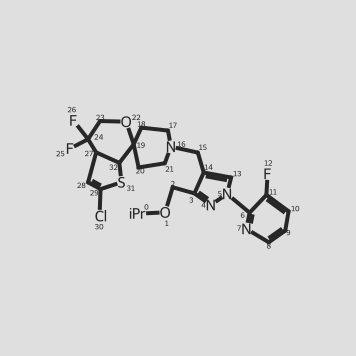 CC(C)OCc1nn(-c2ncccc2F)cc1CN1CCC2(CC1)OCC(F)(F)C1C=C(Cl)SC12